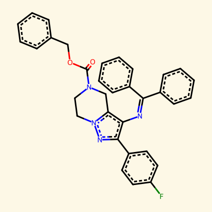 O=C(OCc1ccccc1)N1CCn2nc(-c3ccc(F)cc3)c(N=C(c3ccccc3)c3ccccc3)c2C1